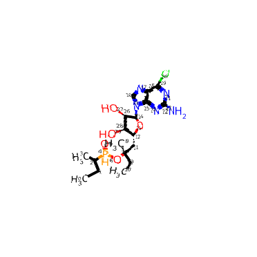 CCC(C)[PH](=O)O[C@](C)(CC)C[C@H]1OC(n2cnc3c(Cl)nc(N)nc32)[C@H](O)[C@@H]1O